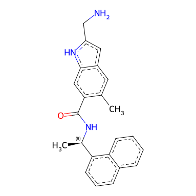 Cc1cc2cc(CN)[nH]c2cc1C(=O)N[C@H](C)c1cccc2ccccc12